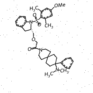 COc1cc(C)c(S(=O)(=O)N2c3ccccc3C[C@H]2COCC(=O)N2CCC3(CC2)CCC(c2ccccc2)(N(C)C)CC3)c(C)c1